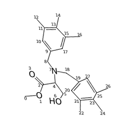 COC(=O)C(CO)N(Cc1cc(C)c(C)c(C)c1)Cc1cc(C)c(C)c(C)c1